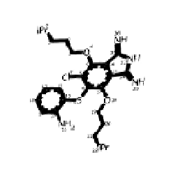 CC(C)CCCOc1c(Cl)c(Sc2ccccc2N)c(OCCCC(C)C)c2c1C(=N)NC2=N